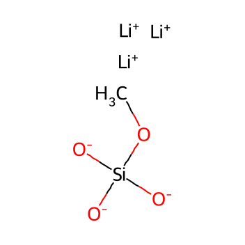 CO[Si]([O-])([O-])[O-].[Li+].[Li+].[Li+]